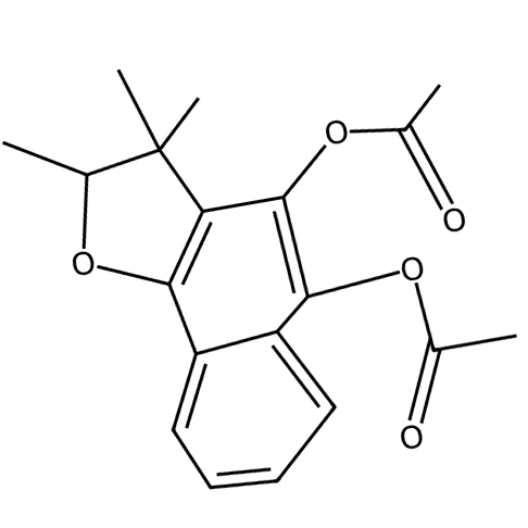 CC(=O)Oc1c2c(c3ccccc3c1OC(C)=O)OC(C)C2(C)C